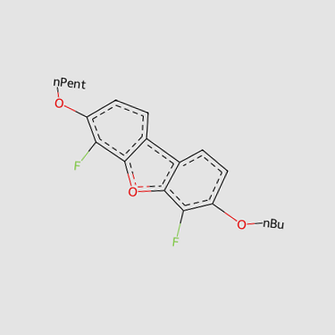 CCCCCOc1ccc2c(oc3c(F)c(OCCCC)ccc32)c1F